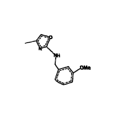 COc1cccc(CNc2nc(C)co2)c1